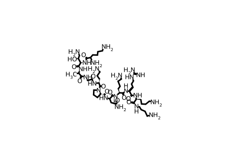 CC(NC(=O)[C@@H](NC(=O)C(N)CCCCN)[C@@H](O)CN)C(=O)NCC(=O)N[C@H](CCCN)C(=O)N1CCC[C@H]1C(=O)NC(CC(N)=O)C(=O)N[C@@H](CCCCN)C(=O)N/C(=C\CCNC(=N)N)C(=O)N[C@@H](CCCCN)C(=O)NCCCCN